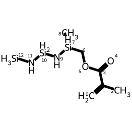 C=C(C)C(=O)OC[SiH](C)N[SiH2]N[SiH3]